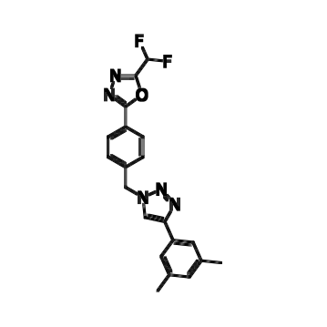 Cc1cc(C)cc(-c2cn(Cc3ccc(-c4nnc(C(F)F)o4)cc3)nn2)c1